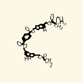 C=CC(=O)OCC1CC2C3C[C@@H](CC3COC(=O)c3ccc(C(=O)OCC4CC5C6C[C@@H](CC6COC(=O)C(=C)C)C5C4)cc3)[C@H]2C1